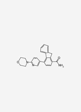 NC(=O)c1ccc(-c2ccc(N3CCOCC3)nc2)c2c1Cc1ccccc1-2